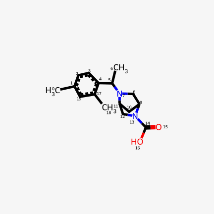 Cc1ccc(C(C)N2CC3CC2CN3C(=O)O)c(C)c1